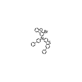 Brc1cc(N(c2ccc(-c3ccccc3)cc2)c2ccc3sc4ccc(-c5ccccc5)cc4c3c2)cc2c1oc1ccccc12